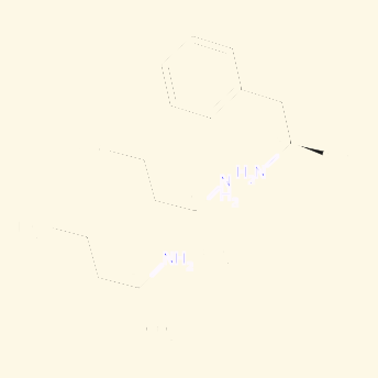 N[C@@H](CCC(=O)O)C(=O)O.N[C@@H](CCC(=O)O)C(=O)O.N[C@@H](Cc1ccccc1)C(=O)O